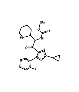 CC(C)(C)OC(=O)NC(C(=O)c1nc(C2CC2)sc1-c1ccccc1F)C1CCCCN1